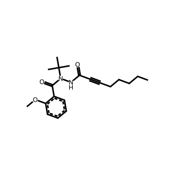 CCCCCC#CC(=O)NN(C(=O)c1ccccc1OC)C(C)(C)C